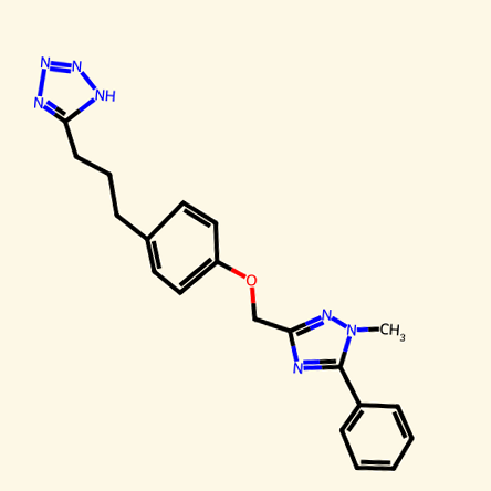 Cn1nc(COc2ccc(CCCc3nnn[nH]3)cc2)nc1-c1ccccc1